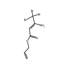 C=CCOC(=O)/C=C(\N)C(Br)(Br)Br